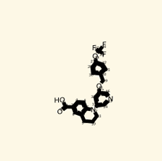 O=C(O)c1ccc2c(c1)CCCN2c1cncc(OCc2ccc(OC(F)(F)F)cc2)c1